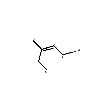 [CH2]C(=CCF)CC